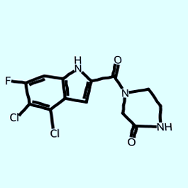 O=C1CN(C(=O)c2cc3c(Cl)c(Cl)c(F)cc3[nH]2)CCN1